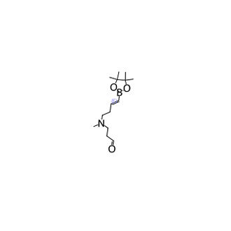 CN(CCC=O)CC/C=C/B1OC(C)(C)C(C)(C)O1